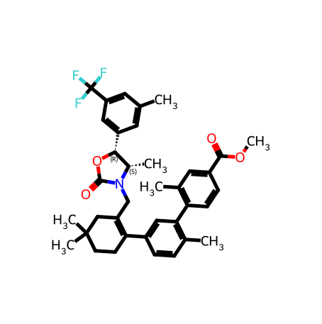 COC(=O)c1ccc(-c2cc(C3=C(CN4C(=O)O[C@H](c5cc(C)cc(C(F)(F)F)c5)[C@@H]4C)CC(C)(C)CC3)ccc2C)c(C)c1